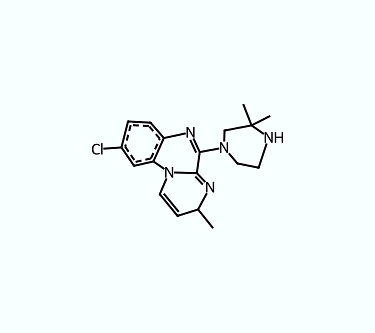 CC1C=CN2C(=N1)C(N1CCNC(C)(C)C1)=Nc1ccc(Cl)cc12